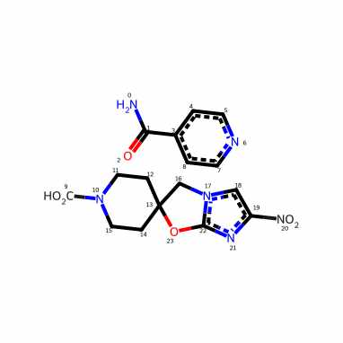 NC(=O)c1ccncc1.O=C(O)N1CCC2(CC1)Cn1cc([N+](=O)[O-])nc1O2